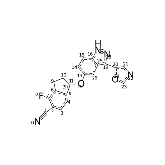 N#Cc1ccc2c(c1F)CC[C@@H]2Oc1ccc2[nH]nc(-c3cnco3)c2c1